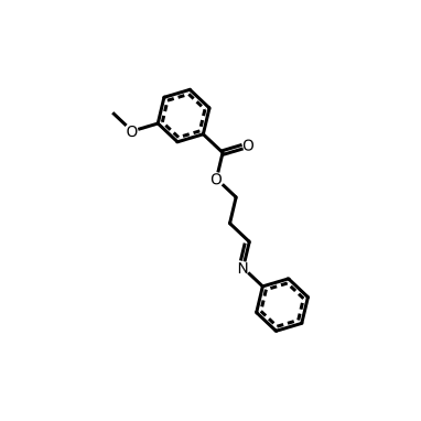 COc1cccc(C(=O)OCCC=Nc2ccccc2)c1